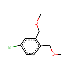 COCc1ccc(Br)cc1COC